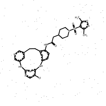 Cc1noc(C)c1S(=O)(=O)N1CCC(CC(=O)Nc2ccc3cc2CCc2cncc(c2)Nc2ncc(Cl)c(n2)N3)CC1